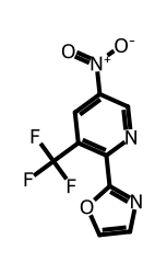 O=[N+]([O-])c1cnc(-c2ncco2)c(C(F)(F)F)c1